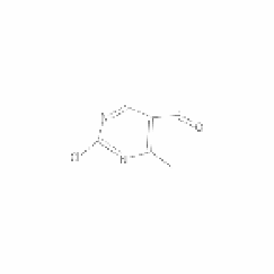 Cc1nc(Cl)ncc1[C]=O